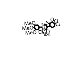 CCC(C)Cn1c(-c2cc(OC)c(OC)c(OC)c2Cl)nc2sc3c(c2c1=O)CCC(Cl)(Cl)C3=O